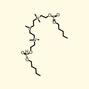 CCCCCO[PH](=O)OCC[N+](C)(C)CCN(C)CC[N+](C)(C)CCO[PH](=O)OCCCCC